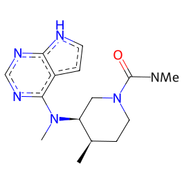 CNC(=O)N1CC[C@@H](C)[C@@H](N(C)c2ncnc3[nH]ccc23)C1